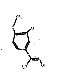 N/C(=N\O)c1ccc(OC(F)(F)F)c(Cl)c1